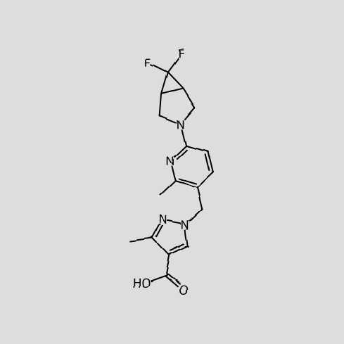 Cc1nc(N2CC3C(C2)C3(F)F)ccc1Cn1cc(C(=O)O)c(C)n1